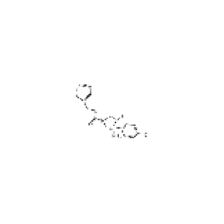 N[C@]1(c2ccc(Cl)cc2)CN(C(=O)OCc2ccccc2)CC1F